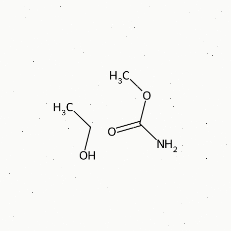 CCO.COC(N)=O